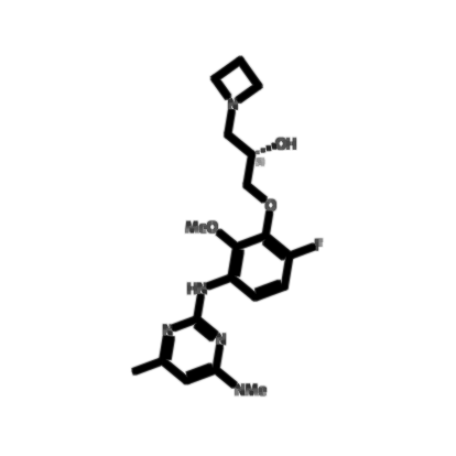 CNc1cc(C)nc(Nc2ccc(F)c(OC[C@@H](O)CN3CCC3)c2OC)n1